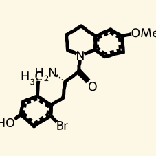 COc1ccc2c(c1)CCCN2C(=O)[C@@H](N)Cc1c(C)cc(O)cc1Br